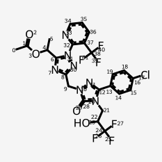 CC(=O)OC(C)c1nc(Cn2nc(-c3ccc(Cl)cc3)n(CC(O)C(F)(F)F)c2=O)nn1-c1ncccc1C(F)(F)F